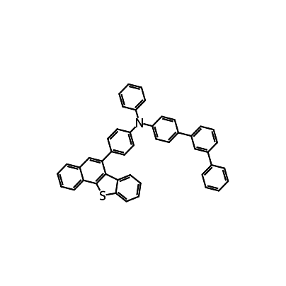 c1ccc(-c2cccc(-c3ccc(N(c4ccccc4)c4ccc(-c5cc6ccccc6c6sc7ccccc7c56)cc4)cc3)c2)cc1